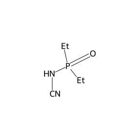 CCP(=O)(CC)NC#N